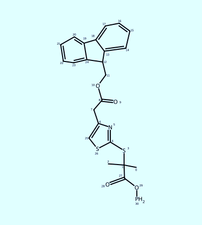 CC(C)(Sc1nc(CC(=O)OCC2c3ccccc3-c3ccccc32)cs1)C(=O)OP